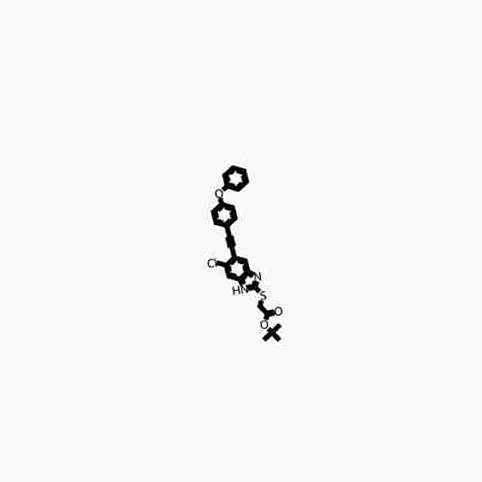 CC(C)(C)OC(=O)CSc1nc2cc(C#Cc3ccc(Oc4ccccc4)cc3)c(Cl)cc2[nH]1